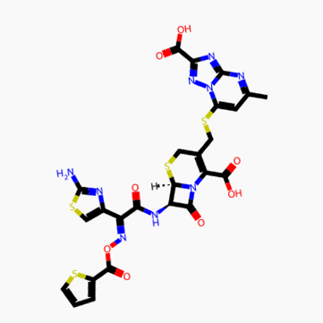 Cc1cc(SCC2=C(C(=O)O)N3C(=O)[C@@H](NC(=O)C(=NOC(=O)c4cccs4)c4csc(N)n4)[C@H]3SC2)n2nc(C(=O)O)nc2n1